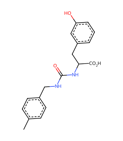 Cc1ccc(CNC(=O)NC(Cc2cccc(O)c2)C(=O)O)cc1